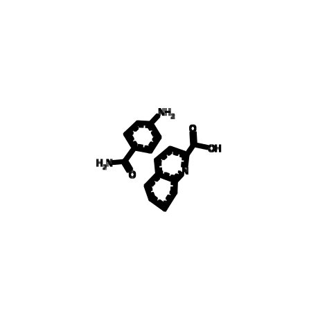 NC(=O)c1ccc(N)cc1.O=C(O)c1ccc2ccccc2n1